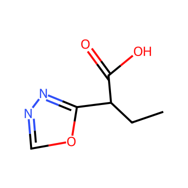 CCC(C(=O)O)c1nnco1